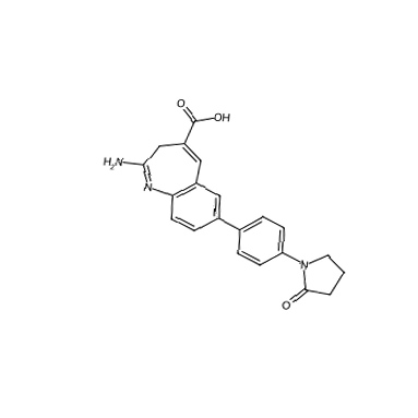 NC1=Nc2ccc(-c3ccc(N4CCCC4=O)cc3)cc2C=C(C(=O)O)C1